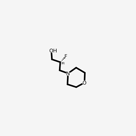 OC[C@H](F)CN1CCOCC1